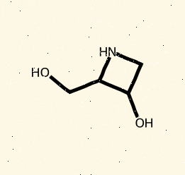 OCC1NCC1O